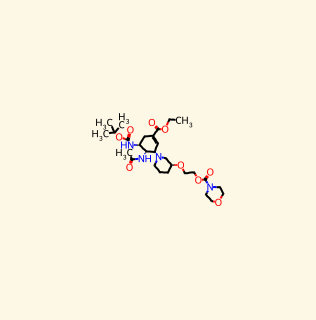 CCOC(=O)C1=C[C@@H](N2CCC[C@H](OCCOC(=O)N3CCOCC3)C2)[C@H](NC(C)=O)[C@@H](NC(=O)OC(C)(C)C)C1